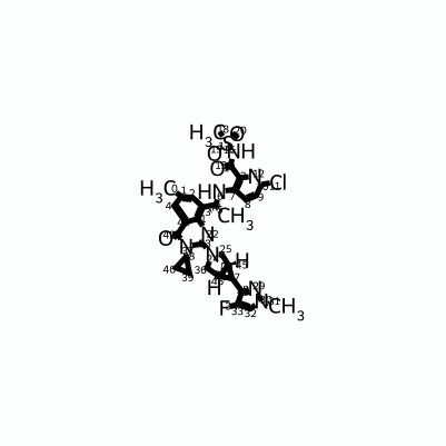 Cc1cc([C@@H](C)Nc2ccc(Cl)nc2C(=O)NS(C)(=O)=O)c2nc(N3C[C@@H]4C(c5nn(C)cc5F)[C@@H]4C3)n(C3CC3)c(=O)c2c1